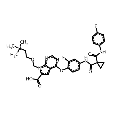 C[Si](C)(C)CCOCn1c(C(=O)O)cc2c(Oc3ccc(NC(=O)C4(C(=O)Nc5ccc(F)cc5)CC4)cc3F)ncnc21